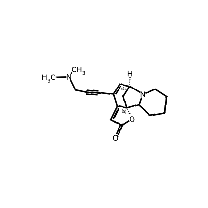 CN(C)CC#CC1=C[C@@H]2C[C@@]3(OC(=O)C=C13)C1CCCCN12